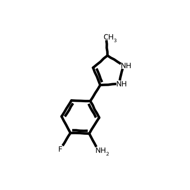 CC1C=C(c2ccc(F)c(N)c2)NN1